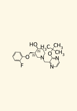 CC(C)(C)Oc1nccnc1CN1CC[C@H](O)[C@H](COc2ccccc2F)C1